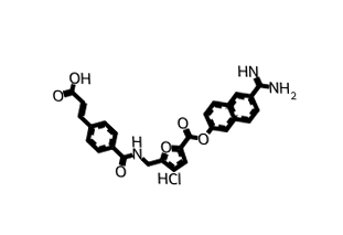 Cl.N=C(N)c1ccc2cc(OC(=O)c3ccc(CNC(=O)c4ccc(C=CC(=O)O)cc4)o3)ccc2c1